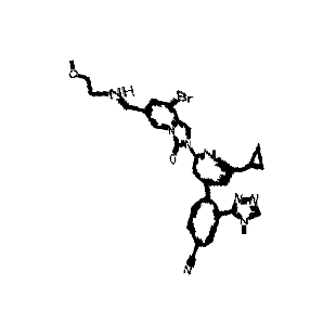 COCCNCc1cc(Br)c2cn(-c3cc(-c4ccc(C#N)cc4-c4nncn4C)cc(C4CC4)n3)c(=O)n2c1